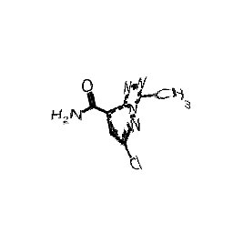 Cc1nnc2c(C(N)=O)cc(Cl)nn12